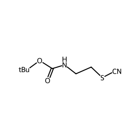 CC(C)(C)OC(=O)NCCSC#N